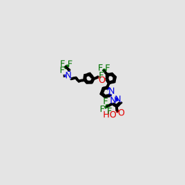 CN(CCCc1ccc(COc2c(-c3cccc(-n4ncc(C(=O)O)c4C(F)(F)F)n3)cccc2C(F)(F)F)cc1)CC(F)(F)F